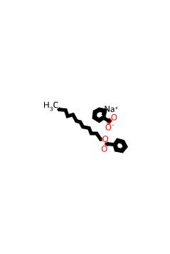 CCCCCCCCCCCCOC(=O)c1ccccc1.O=C([O-])c1ccccc1.[Na+]